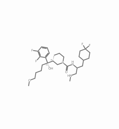 CNCC(CC1CCC(F)(F)CC1)NC(=O)N1CCC[C@@H]([C@@](O)(CCCCOC)c2cccc(F)c2F)C1